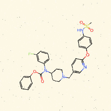 CS(=O)(=O)Nc1ccc(Oc2ccc(CN3CCC(N(C(=O)Oc4ccccc4)c4cccc(F)c4)CC3)cn2)cc1